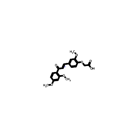 COc1ccc(C(=O)/C=C/c2ccc(OCC(=O)O)c(OC)c2)c(OC)c1